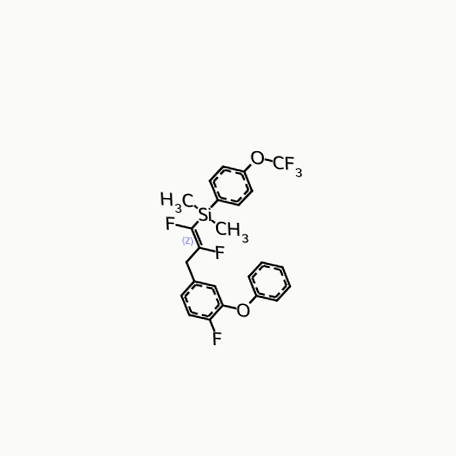 C[Si](C)(/C(F)=C(\F)Cc1ccc(F)c(Oc2ccccc2)c1)c1ccc(OC(F)(F)F)cc1